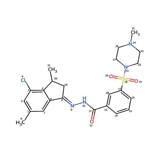 Cc1cc(Cl)c2c(c1)/C(=N/NC(=O)c1cccc(S(=O)(=O)N3CCN(C)CC3)c1)CC2C